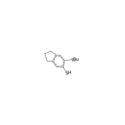 CC(C)(C)c1cc2c(cc1S)CCC2